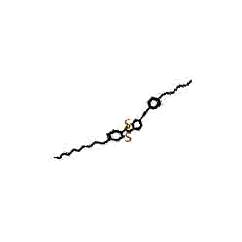 CCCCCCCCCCc1ccc2c(c1)sc1c3ccc(C#Cc4ccc(CCCCC)cc4)cc3sc21